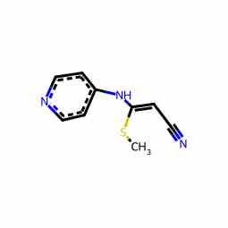 CSC(=CC#N)Nc1ccncc1